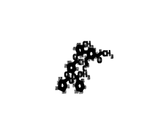 CCCc1cc(C(=O)CC)ccc1-c1cc(OC(C)c2ccc(OC(=O)c3ccccc3)c(OC(=O)c3ccccc3)c2)ccc1C